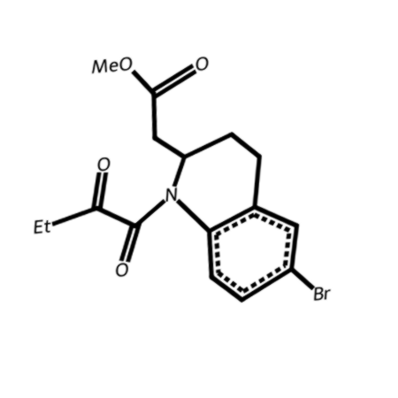 CCC(=O)C(=O)N1c2ccc(Br)cc2CCC1CC(=O)OC